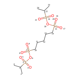 CC(C)S(=O)(=O)OS(=O)(=O)CCCCCS(=O)(=O)OS(=O)(=O)C(C)C